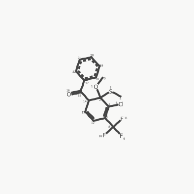 COC1(SC)C(Cl)=C(C(F)(F)F)C=CC1C(=O)c1ccccc1